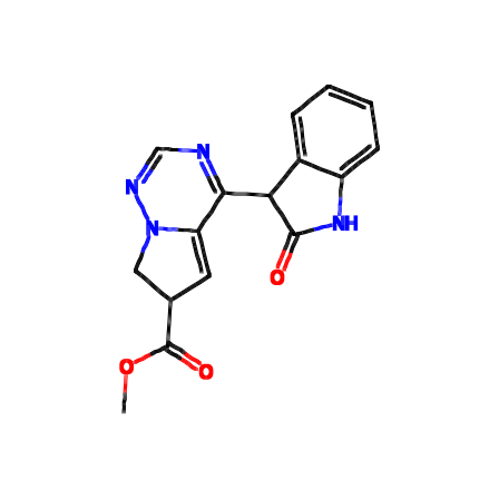 COC(=O)C1C=C2C(C3C(=O)Nc4ccccc43)=NC=NN2C1